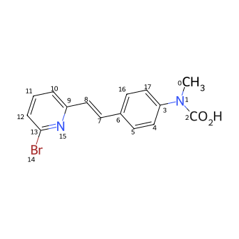 CN(C(=O)O)c1ccc(/C=C/c2cccc(Br)n2)cc1